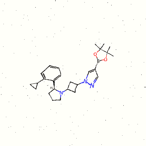 CC1(C)OB(c2cnn(C3CC(N4CCC[C@H]4c4ccccc4C4CC4)C3)c2)OC1(C)C